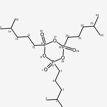 CC(C)CCCP1(=O)OP(=O)(CCCC(C)C)OP(=O)(CCCC(C)C)O1